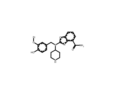 CCOc1cc(CN(c2nc3c(C(N)=O)[c]ccc3o2)C2CCNCC2)ccc1O